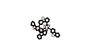 c1ccc(-c2nc(-c3ccc4c(c3)oc3ccccc34)nc(-c3cccc4oc5ccc(-c6cc(-n7c8ccccc8c8ccccc87)cc7sc8ccccc8c67)cc5c34)n2)cc1